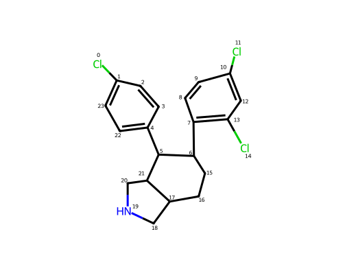 Clc1ccc(C2C(c3ccc(Cl)cc3Cl)CCC3CNCC32)cc1